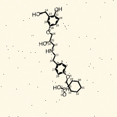 O=[PH](O)C1(COc2ccc(CCNC[C@H](O)COc3ccc(O)c(CO)c3)cc2)CCCCC1